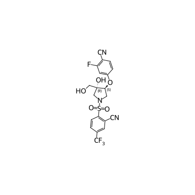 N#Cc1ccc(O[C@H]2CN(S(=O)(=O)c3ccc(C(F)(F)F)cc3C#N)C[C@@]2(O)CO)cc1F